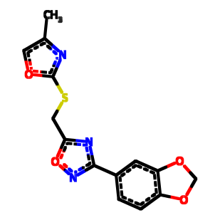 Cc1coc(SCc2nc(-c3ccc4c(c3)OCO4)no2)n1